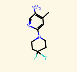 Cc1cc(N2CCC(F)(F)CC2)ncc1N